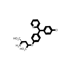 N[C@@H](CC(Oc1ccc(C(c2ccc(Cl)cc2)c2ccccn2)cc1)C(=O)O)C(=O)O